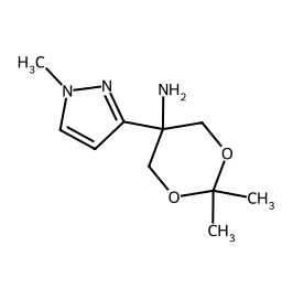 Cn1ccc(C2(N)COC(C)(C)OC2)n1